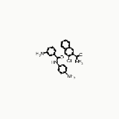 NC(=O)c1cc2ccccc2cc1O.Nc1ccc(NC(=O)c2cccc(N)c2)cc1